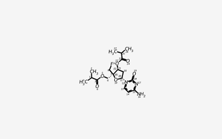 CC(C)C(=O)OC[C@@]1(CF)O[C@@H](n2ccc(N)nc2=O)C[C@@H]1OC(=O)C(C)C